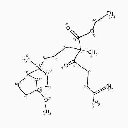 C=C(C)CCC(=O)C(C)(CCCC1(C)OCC2(OC)CCC1O2)C(=O)OCC